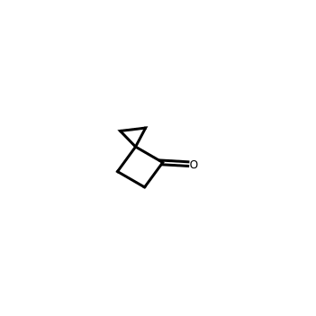 O=C1CCC12CC2